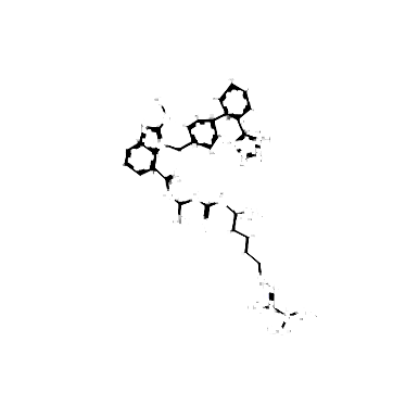 CCOc1nc2cccc(C(=O)OC(OC(=O)O[C@@H](C)CCCCO/N=[N+](\O)N(C)C(C)(C)C)C(C)C)c2n1Cc1ccc(-c2ccccc2-c2nnn[nH]2)cc1